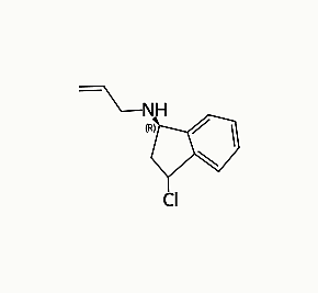 C=CCN[C@@H]1CC(Cl)c2ccccc21